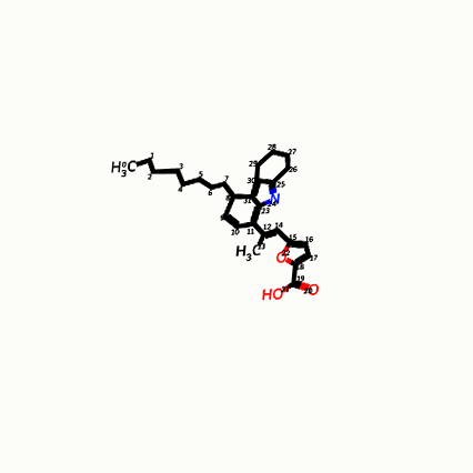 CCCCCCCCC1C=CC(C(C)=Cc2ccc(C(=O)O)o2)=C2N=C3CCCCC3=C21